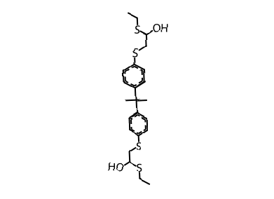 CCSC(O)CSc1ccc(C(C)(C)c2ccc(SCC(O)SCC)cc2)cc1